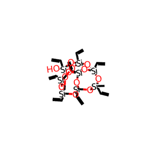 C=C[Si]1(C)O[Si]2(C=C)O[Si]3(C=C)O[Si](O)(C=C)O[Si]4(C=C)O[Si](C=C)(O1)O[Si](C=C)(O2)O[Si](C=C)(O3)O4